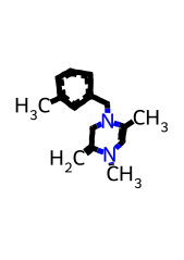 C=C1CN(Cc2cccc(C)c2)C(C)=CN1C